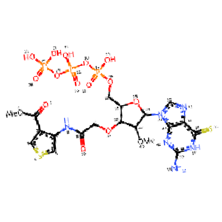 COC(=O)c1cscc1NC(=O)COC1C(COP(=O)(O)OP(=O)(O)OP(=O)(O)O)OC(n2cnc3c(=S)[nH]c(N)nc32)C1OC